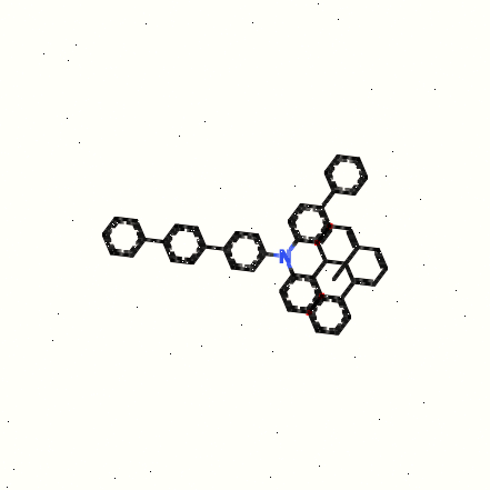 CC12C(=CC=CC1c1ccccc1N(c1ccc(-c3ccccc3)cc1)c1ccc(-c3ccc(-c4ccccc4)cc3)cc1)C=CC=C2c1ccccc1